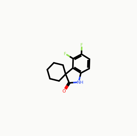 O=C1Nc2ccc(F)c(F)c2C12CCCCC2